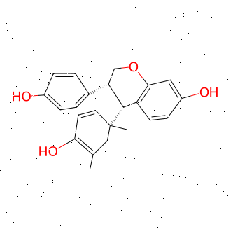 CC1=C(O)C=CC(C)([C@H]2c3ccc(O)cc3OC[C@H]2c2ccc(O)cc2)C1